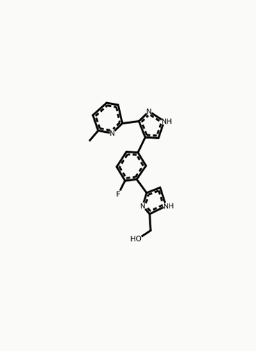 Cc1cccc(-c2n[nH]cc2-c2ccc(F)c(-c3c[nH]c(CO)n3)c2)n1